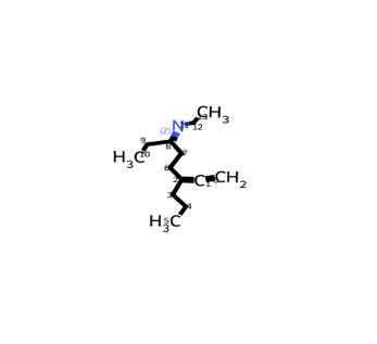 C=C=C(CCC)CC/C(CC)=N\CC